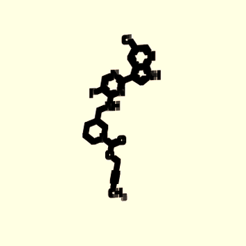 CC#CCOC(=O)N1CCCC(CNc2nc(-c3c[nH]c4ncc(Cl)cc34)ncc2F)C1